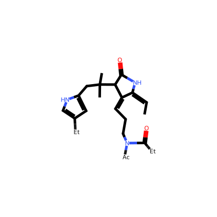 C/C=C1/NC(=O)C(C(C)(C)Cc2cc(CC)c[nH]2)/C1=C/CCN(C(C)=O)C(=O)CC